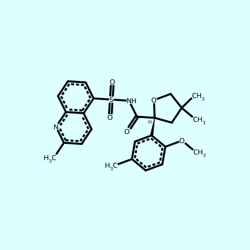 COc1ccc(C)cc1[C@]1(C(=O)NS(=O)(=O)c2cccc3nc(C)ccc23)CC(C)(C)CO1